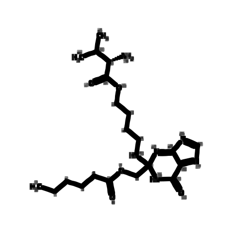 CCCCCC(=O)OCC1(NCCCCOC(=O)[C@@H](N)C(C)C)N=C2N=CN=C2C(=O)N1